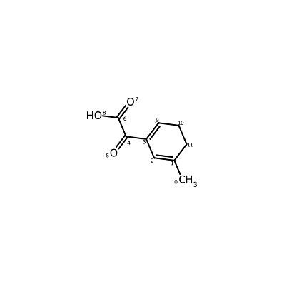 CC1=CC(C(=O)C(=O)O)=[C]CC1